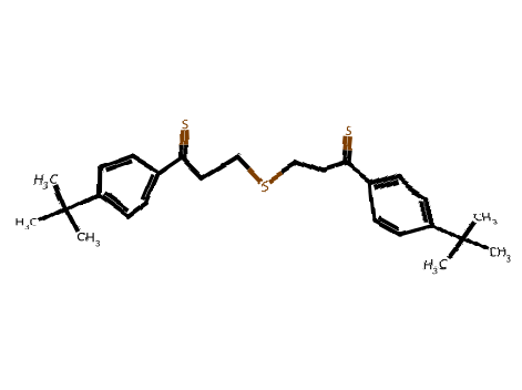 CC(C)(C)c1ccc(C(=S)CCSCCC(=S)c2ccc(C(C)(C)C)cc2)cc1